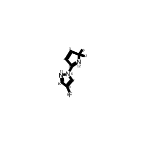 CC1(C)C=CC(n2cc(F)cn2)=N1